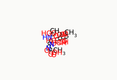 CC[C@@]1(O)C(=O)OCc2c1cc1n(c2=O)Cc2cc3cc(NC4CC(O[C@H]5C[C@](O)(C(=O)CO)Cc6c(O)c7c(c(O)c65)C(=O)c5c(OC)cccc5C7=O)OC(C)C4O)ccc3nc2-1